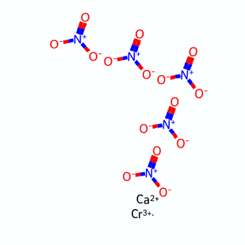 O=[N+]([O-])[O-].O=[N+]([O-])[O-].O=[N+]([O-])[O-].O=[N+]([O-])[O-].O=[N+]([O-])[O-].[Ca+2].[Cr+3]